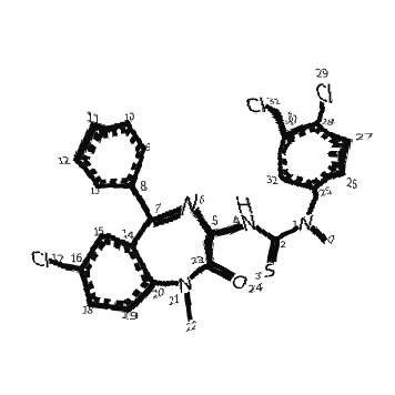 CN(C(=S)NC1N=C(c2ccccc2)c2cc(Cl)ccc2N(C)C1=O)c1ccc(Cl)c(Cl)c1